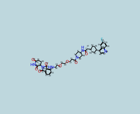 C[C@@H](C(=O)NC1CCN(C(=O)CCOCCOCCNc2cccc3c2C(=O)N(C2CCC(=O)NC2=O)C3=O)CC1)[C@H]1CC[C@@H](c2ccnc3ccc(F)cc32)CC1